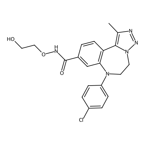 Cc1nnn2c1-c1ccc(C(=O)NOCCO)cc1N(c1ccc(Cl)cc1)CC2